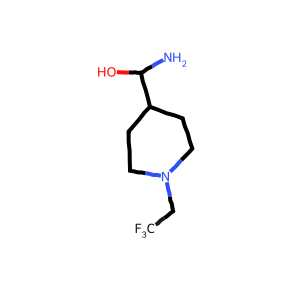 NC(O)C1CCN(CC(F)(F)F)CC1